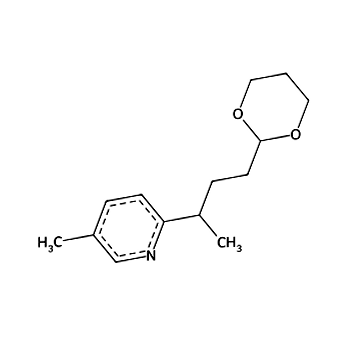 Cc1ccc(C(C)CCC2OCCCO2)nc1